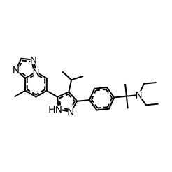 CCN(CC)C(C)(C)c1ccc(-c2n[nH]c(-c3cc(C)c4ncnn4c3)c2C(C)C)cc1